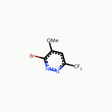 COc1cc(C(F)(F)F)nnc1Br